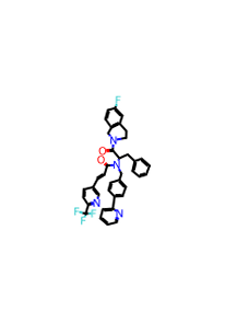 O=C(C(Cc1ccccc1)N(Cc1ccc(-c2ccccn2)cc1)C(=O)C=Cc1ccc(C(F)(F)F)nc1)N1CCc2cc(F)ccc2C1